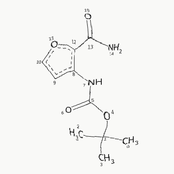 CC(C)(C)OC(=O)Nc1ccoc1C(N)=O